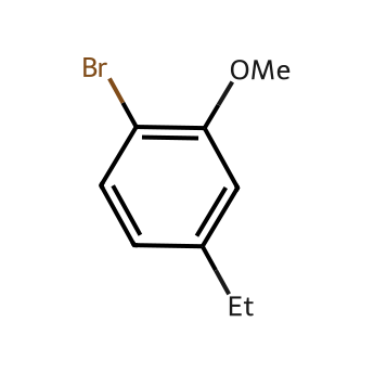 CCc1ccc(Br)c(OC)c1